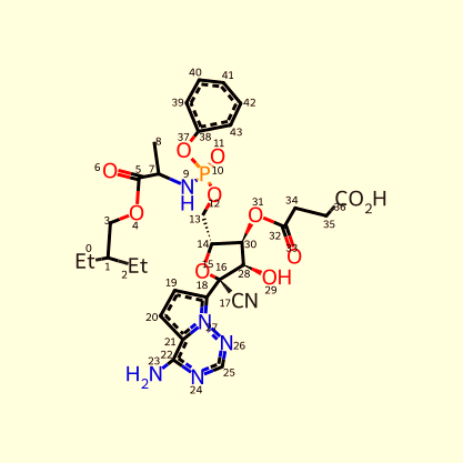 CCC(CC)COC(=O)C(C)N[P@](=O)(OC[C@H]1O[C@@](C#N)(c2ccc3c(N)ncnn23)[C@H](O)[C@@H]1OC(=O)CCC(=O)O)Oc1ccccc1